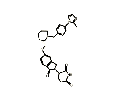 Cc1nccn1-c1ccc(CN2CCCC[C@H]2COc2ccc3c(c2)CN(C2CCC(=O)NC2=O)C3=O)cc1